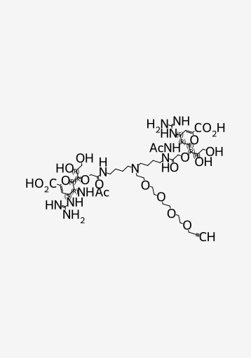 C#CCOCCOCCOCCOCCN(CCCCNC(=O)CO[C@@H]([C@@H]1OC(C(=O)O)=C[C@H](NC(=N)N)[C@H]1NC(C)=O)[C@H](O)CO)CCCCNC(=O)CO[C@@H]([C@@H]1OC(C(=O)O)=C[C@H](NC(=N)N)[C@H]1NC(C)=O)[C@H](O)CO